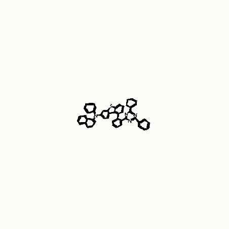 C1=CCCC(c2nc(-c3ccccc3)nc(-c3ccccc3-c3cccc4sc5cc(N(c6ccccc6)c6cccc7ccccc67)ccc5c34)n2)=C1